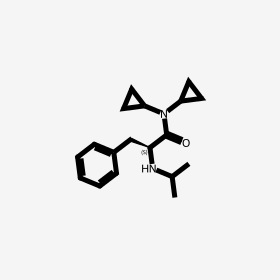 CC(C)N[C@@H](Cc1ccccc1)C(=O)N(C1CC1)C1CC1